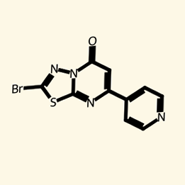 O=c1cc(-c2ccncc2)nc2sc(Br)nn12